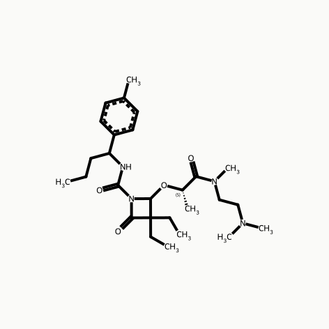 CCCC(NC(=O)N1C(=O)C(CC)(CC)C1O[C@@H](C)C(=O)N(C)CCN(C)C)c1ccc(C)cc1